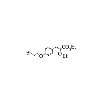 CCOC(=O)C(=Cc1ccc(OCCBr)cc1)OCC